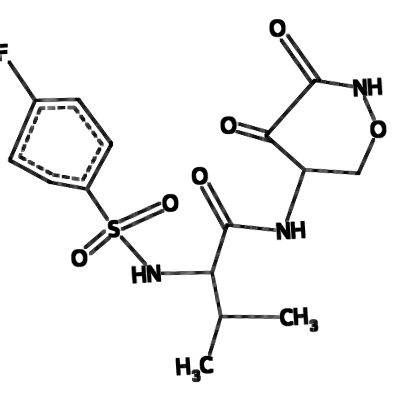 CC(C)C(NS(=O)(=O)c1ccc(F)cc1)C(=O)NC1CONC(=O)C1=O